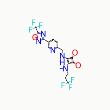 CN(CCC(F)(F)F)c1c(NCc2ccc(-c3noc(C(F)(F)F)n3)cn2)c(=O)c1=O